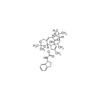 CC1=CC23C(=O)[C@@H](C=C4COC(C)(C)O[C@H]4[C@]2(O)[C@H]1OC(=O)NC1CCc2ccccc21)[C@@H]1[C@@H](CC3C)C1(C)C